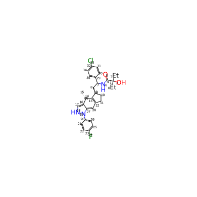 CCC(O)(CC)C(=O)NC(C[C@H]1CCC2=C1[C@@H](C)C1=CNN(c3ccc(F)cc3)C1=C2)c1ccc(Cl)cc1